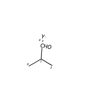 CC(C)C=O.[Y]